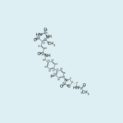 CC(=O)NC[C@H]1CN(c2ccc(-c3ccc(CNC(=O)/C=C/c4c(C)[nH]c(=O)[nH]c4=O)cc3)c(F)c2)C(=O)O1